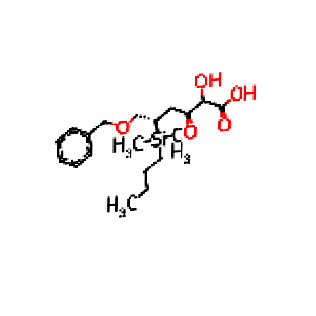 CCCC[Si](C)(C)[C@H](COCc1ccccc1)CC(=O)C(O)C(=O)O